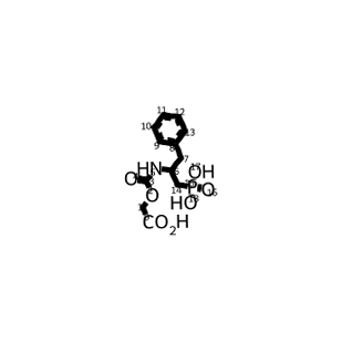 O=C(O)COC(=O)NC(Cc1ccccc1)CP(=O)(O)O